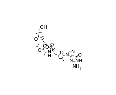 CC(C)OC(=O)C(C)NP(=O)(OCCSC(=O)C(C)(C)CO)OC[C@@H]1C[C@H](C)[C@H](n2cnc3c(=O)[nH]c(N)nc32)O1